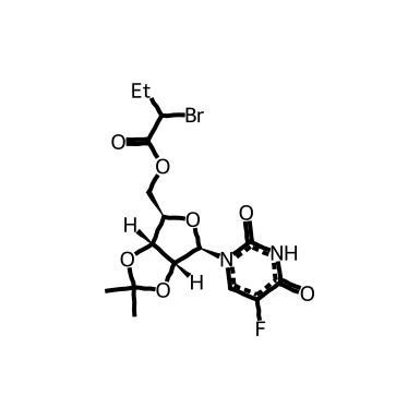 CCC(Br)C(=O)OC[C@H]1O[C@@H](n2cc(F)c(=O)[nH]c2=O)[C@@H]2OC(C)(C)O[C@@H]21